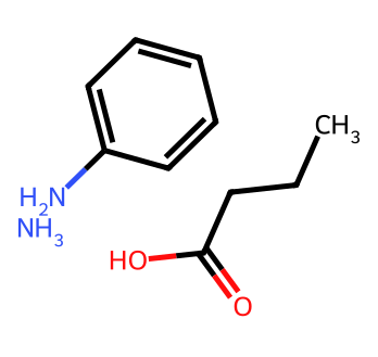 CCCC(=O)O.N.Nc1ccccc1